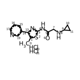 Cc1sc(NC(=O)CNC2CC2)nc1-c1cccnc1.Cl.Cl